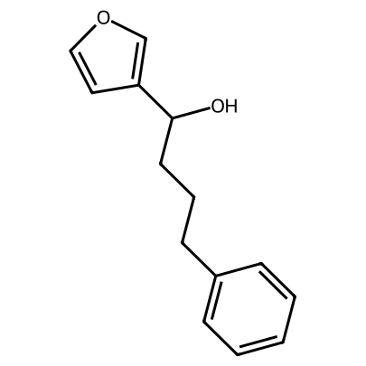 OC(CCCc1ccccc1)c1ccoc1